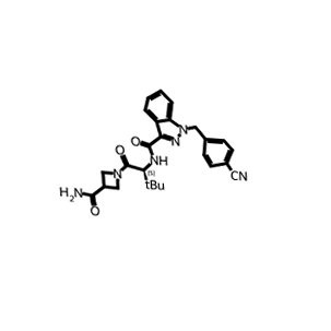 CC(C)(C)[C@H](NC(=O)c1nn(Cc2ccc(C#N)cc2)c2ccccc12)C(=O)N1CC(C(N)=O)C1